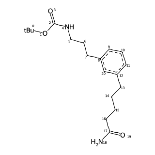 CC(C)(C)OC(=O)NCCCc1cccc(CCCCC(N)=O)c1